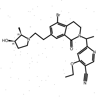 CCOc1cc(C(C)N2CCc3c(Br)cc(CCN4CC[C@@H](O)[C@H]4C)cc3C2=O)ncc1C#N